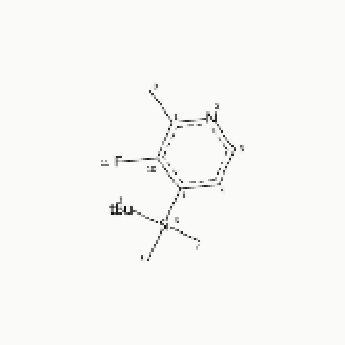 Cc1nccc([Si](C)(C)C(C)(C)C)c1F